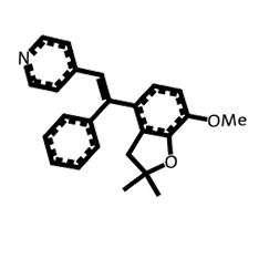 COc1ccc(C(=Cc2ccncc2)c2ccccc2)c2c1OC(C)(C)C2